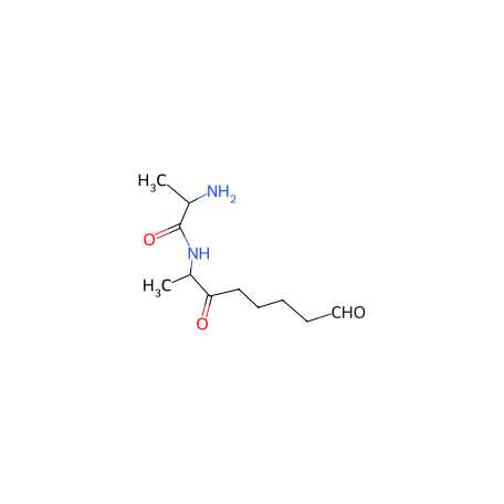 CC(N)C(=O)NC(C)C(=O)CCCCC=O